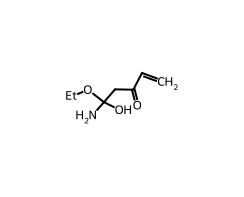 C=CC(=O)CC(N)(O)OCC